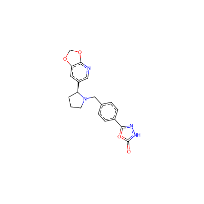 O=c1[nH]nc(-c2ccc(CN3CCC[C@H]3c3cnc4c(c3)OCO4)cc2)o1